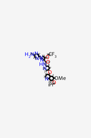 COc1cc2c(Oc3ccc(NC(=O)c4nn(-c5cnc(N)cn5)cc4OCC(F)(F)F)nc3)ccnc2cc1OC(C)C